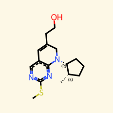 CSc1ncc2c(n1)N([C@@H]1CCC[C@@H]1C)CC(CCO)=C2